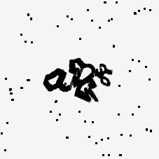 COC(=O)N1Cc2cccn2N(Cc2ccccc2)c2ccncc21